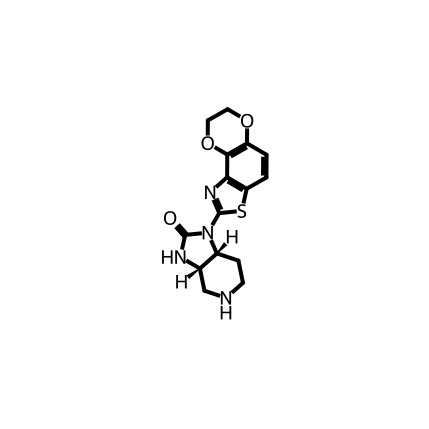 O=C1N[C@H]2CNCC[C@H]2N1c1nc2c3c(ccc2s1)OCCO3